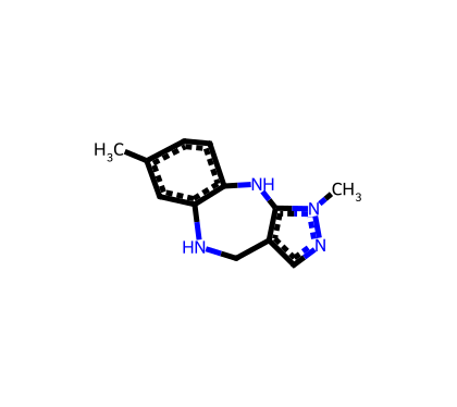 Cc1ccc2c(c1)NCc1cnn(C)c1N2